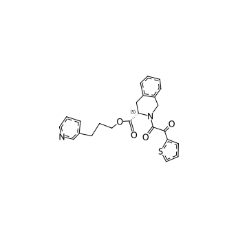 O=C(C(=O)N1Cc2ccccc2C[C@H]1C(=O)OCCCc1cccnc1)c1cccs1